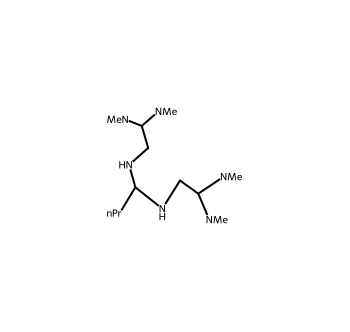 [CH2]CCC(NCC(NC)NC)NCC(NC)NC